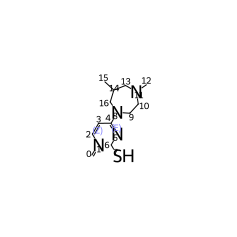 C=N/C=C\C(=N/CS)N1CCN(C)CC(C)C1